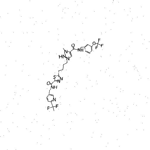 CN1NN(CCCCc2nnc(C(=O)NCc3ccc(C(C)(F)F)nc3)s2)C=C1C(=O)NCc1cccc(OC(F)(F)F)c1